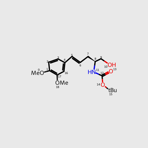 COc1ccc(C=CC[C@@H](CO)NC(=O)OC(C)(C)C)cc1OC